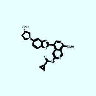 CNc1ncc(-c2nc3cc(N4CC[C@H](OC)C4)ccc3o2)c2cc(NC(=O)C3CC3)ncc12